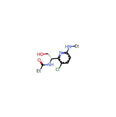 CCNc1ccc(Cl)c([C@@H](CO)NC(=O)CC)n1